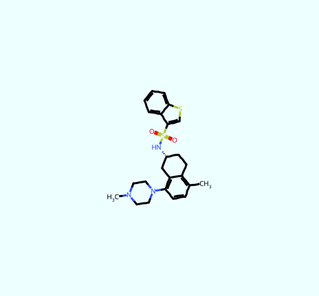 Cc1ccc(N2CCN(C)CC2)c2c1CC[C@@H](NS(=O)(=O)c1csc3ccccc13)C2